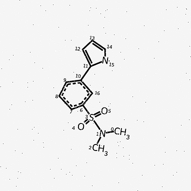 CN(C)S(=O)(=O)c1cccc(C2=CC=C[N]2)c1